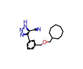 N#Cc1[nH]nnc1-c1cccc(COCC2CCCCCCC2)c1